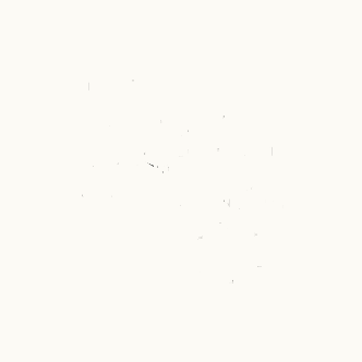 Cc1c(C(=O)N[C@H](c2cccc(F)c2)C2CCC2)c(C(F)(F)F)c(Cl)c(=O)n1-c1ccccc1